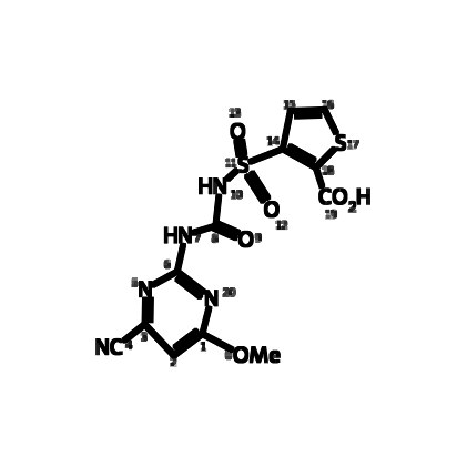 COc1cc(C#N)nc(NC(=O)NS(=O)(=O)c2ccsc2C(=O)O)n1